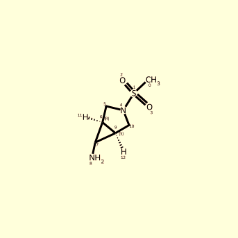 CS(=O)(=O)N1C[C@@H]2C(N)[C@@H]2C1